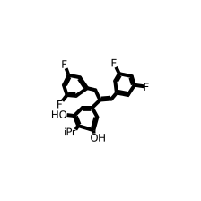 CC(C)c1c(O)cc(C(=Cc2cc(F)cc(F)c2)Cc2cc(F)cc(F)c2)cc1O